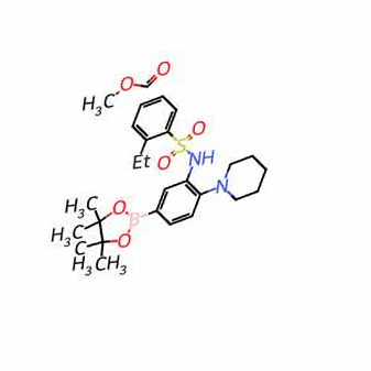 CCc1ccccc1S(=O)(=O)Nc1cc(B2OC(C)(C)C(C)(C)O2)ccc1N1CCCCC1.COC=O